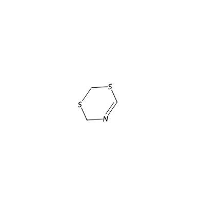 C1=NCSCS1